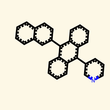 c1cncc(-c2c3ccccc3c(-c3ccc4ccccc4c3)c3ccccc23)c1